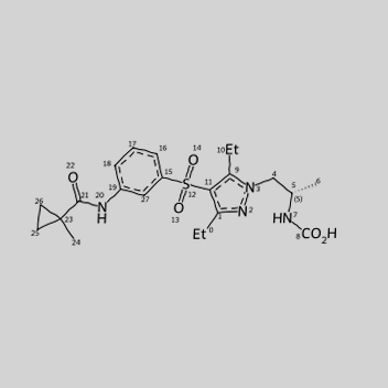 CCc1nn(C[C@H](C)NC(=O)O)c(CC)c1S(=O)(=O)c1cccc(NC(=O)C2(C)CC2)c1